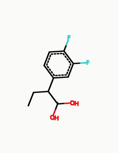 CCC([C](O)O)c1ccc(F)c(F)c1